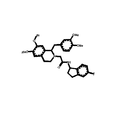 COc1ccc(CC2c3cc(OC(C)C)c(OC)cc3CCN2CC(=O)NC2CCc3cc(F)ccc32)cc1OC